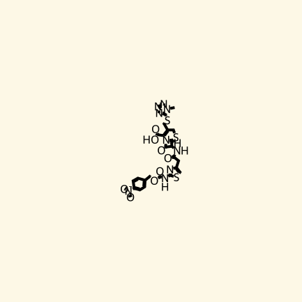 Cn1nnnc1SCC1=C(C(=O)O)N2C(=O)C(NC(=O)Cc3csc(NC(=O)OCc4ccc([N+](=O)[O-])cc4)n3)[C@H]2SC1